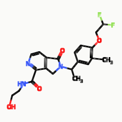 Cc1cc(C(C)N2Cc3c(ccnc3C(=O)NCCO)C2=O)ccc1OCC(F)F